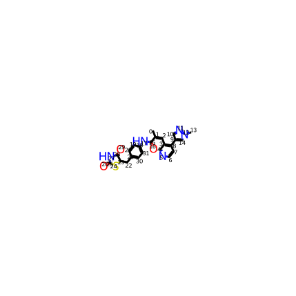 CC(=Cc1cnccc1-c1cnn(C)c1)C(=O)Nc1ccc(CC2SC(=O)NC2=O)cc1